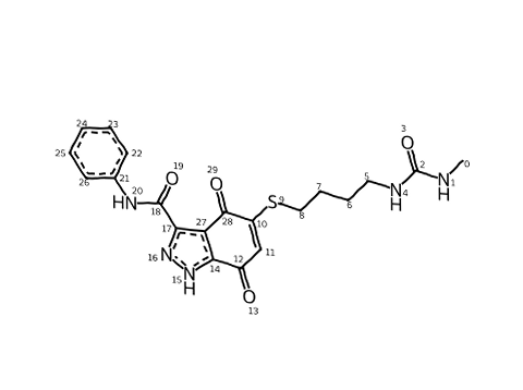 CNC(=O)NCCCCSC1=CC(=O)c2[nH]nc(C(=O)Nc3ccccc3)c2C1=O